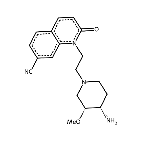 CO[C@@H]1CN(CCn2c(=O)ccc3ccc(C#N)cc32)CC[C@@H]1N